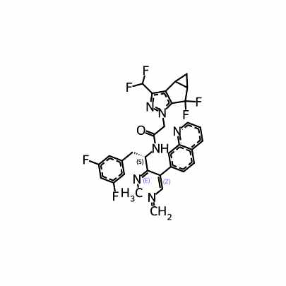 C=N/C=C(\C(=N/C)[C@H](Cc1cc(F)cc(F)c1)NC(=O)Cn1nc(C(F)F)c2c1C(F)(F)C1CC21)c1ccc2cccnc2c1